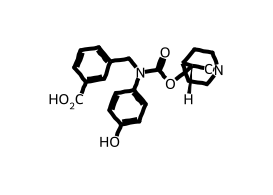 O=C(O)c1cccc(CN(C(=O)O[C@H]2CN3CCC2CC3)c2ccc(O)cc2)c1